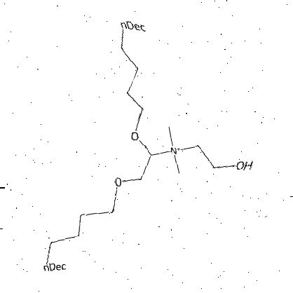 CCCCCCCCCCCCCCOCC(OCCCCCCCCCCCCCC)[N+](C)(C)CCO